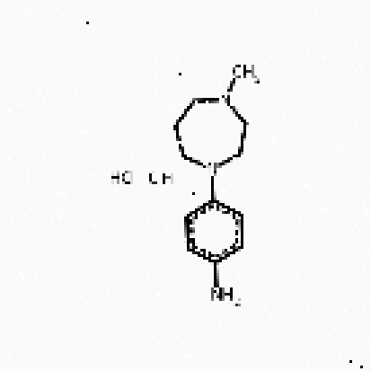 CN1CCCN(c2ccc(N)cc2)CC1.Cl.Cl